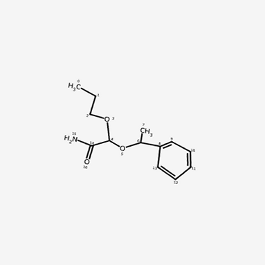 CCCOC(OC(C)c1ccccc1)C(N)=O